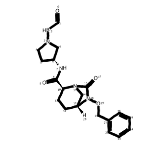 O=CBN1CC[C@@H](NC(=O)[C@@H]2CC[C@@H]3CN2C(=O)N3OCc2ccccc2)C1